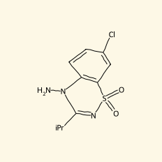 CC(C)C1=NS(=O)(=O)c2cc(Cl)ccc2N1N